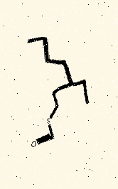 CCCCC(CC)CCSC=O